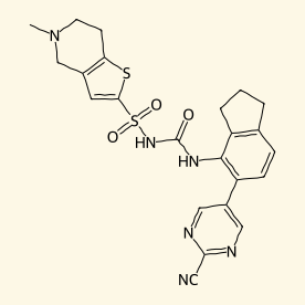 CN1CCc2sc(S(=O)(=O)NC(=O)Nc3c(-c4cnc(C#N)nc4)ccc4c3CCC4)cc2C1